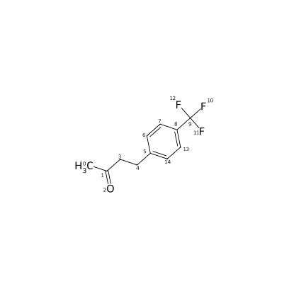 CC(=O)CCc1ccc(C(F)(F)F)cc1